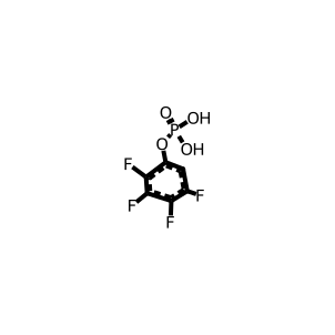 O=P(O)(O)Oc1cc(F)c(F)c(F)c1F